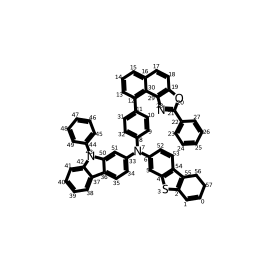 C1=Cc2sc3cc(N(c4ccc(-c5cccc6ccc7oc(-c8ccccc8)nc7c56)cc4)c4ccc5c6ccccc6n(-c6ccccc6)c5c4)ccc3c2CC1